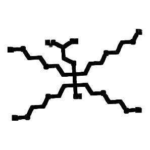 CCOCCOCCCC(CCOCCOCC)(OCC(C)O)C(O)(CCOCCOCC)CCOCCOCC